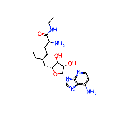 CCNC(=O)C(N)CC[C@H](CC)C[C@H]1O[C@@H](n2cnc3c(N)ccnc32)[C@@H](O)C1O